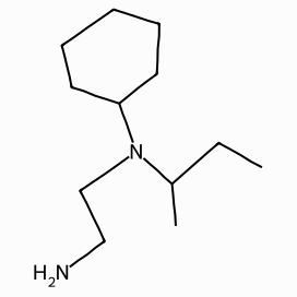 CCC(C)N(CCN)C1CCCCC1